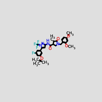 COc1ccc(CN2CC(C(=O)Nc3cc(-c4cc(F)cc(OC(C)(C)C)c4)n(C(F)(F)F)n3)C(C)C2=O)c(OC)c1